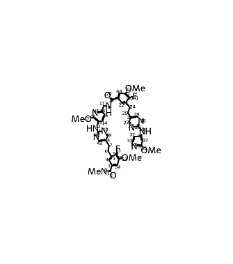 CNC(=O)c1cc(CCc2cnc(Nc3ccc(CNC(=O)c4cc(CCc5cnc(Nc6ccnc(OC)c6)nc5)c(F)c(OC)c4)nc3OC)nc2)c(F)c(OC)c1